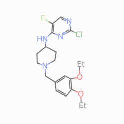 CCOc1ccc(CN2CCC(Nc3nc(Cl)ncc3F)CC2)cc1OCC